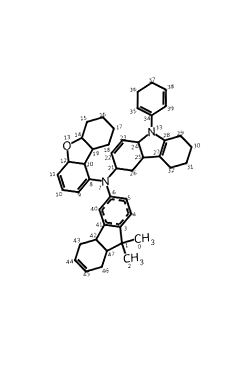 CC1(C)c2ccc(N(C3=CC=CC4OC5CCCCC5C34)C3C=CC4C(C3)C3=C(CCCC3)N4C3=CCCC=C3)cc2C2CC=CCC21